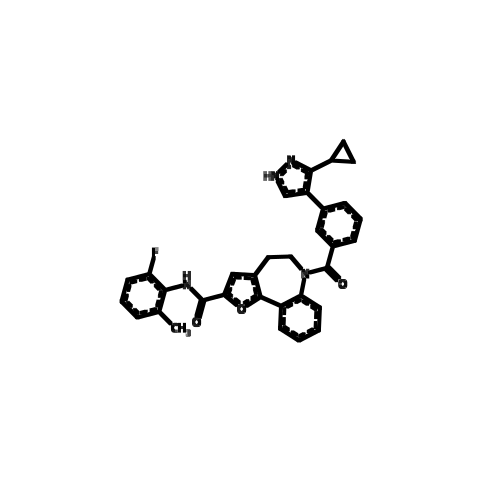 Cc1cccc(F)c1NC(=O)c1cc2c(o1)-c1ccccc1N(C(=O)c1cccc(-c3c[nH]nc3C3CC3)c1)CC2